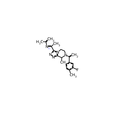 C=C(C)/N=C(\C)c1nnc2n1CCN(C(=C)c1ccc(C)c(F)c1)C2C